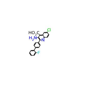 Nc1c(-c2ccc(-c3ccccc3F)cc2)nc2ccc(Cl)cc2c1C(=O)O